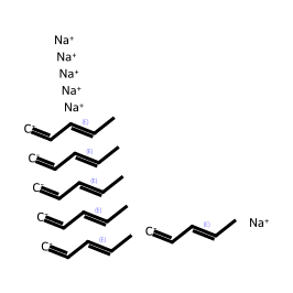 [CH-]=C/C=C/C.[CH-]=C/C=C/C.[CH-]=C/C=C/C.[CH-]=C/C=C/C.[CH-]=C/C=C/C.[CH-]=C/C=C/C.[Na+].[Na+].[Na+].[Na+].[Na+].[Na+]